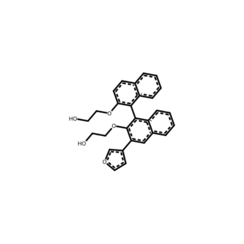 OCCOc1ccc2ccccc2c1-c1c(OCCO)c(-c2ccoc2)cc2ccccc12